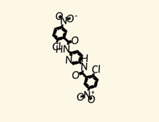 O=C(Nc1ccc(NC(=O)c2cc([N+](=O)[O-])ccc2Cl)nc1)c1cc([N+](=O)[O-])ccc1Cl